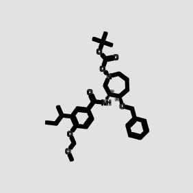 CCC(C)c1cc(C(=O)N[C@@H]2CN(OC(=O)OC(C)(C)C)CCC[C@H]2OCc2ccccc2)ccc1OCOC